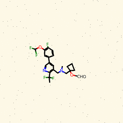 CN(Cc1cc(-c2ccc(F)c(OC(F)F)c2)cnc1C(C)(F)F)CC1(OC=O)CCC1